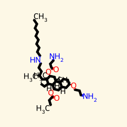 CCCCCCCCCCCNCCC[C@@H](C)[C@H]1CC[C@H]2[C@@H]3[C@H](OC(=O)CCC)C[C@@H]4C[C@H](OCCCN)CC[C@]4(C)[C@H]3C[C@H](OC(=O)CCN)[C@]12C